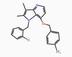 Cc1c(C)n(Cc2ccccc2Cl)c2c(OCc3ccc(C(F)(F)F)cc3)ccnc12